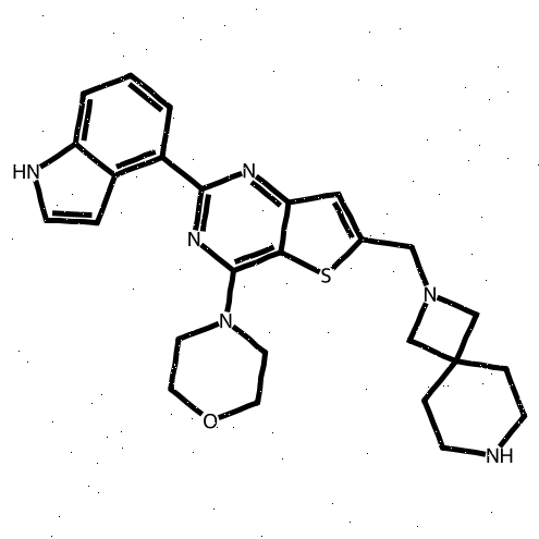 c1cc(-c2nc(N3CCOCC3)c3sc(CN4CC5(CCNCC5)C4)cc3n2)c2cc[nH]c2c1